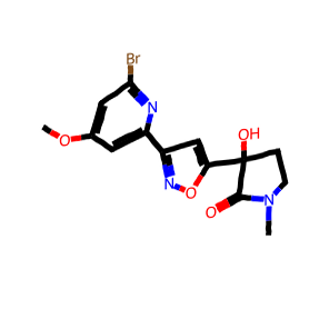 COc1cc(Br)nc(-c2cc(C3(O)CCN(C)C3=O)on2)c1